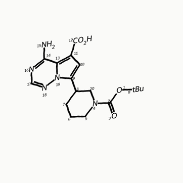 CC(C)(C)OC(=O)N1CCCC(c2cc(C(=O)O)c3c(N)ncnn23)C1